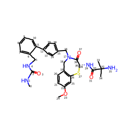 CNC(=O)NCc1ccccc1-c1ccc(CN2Cc3ccc(OC)cc3S[C@@H](NC(=O)C(C)(C)N)C2=O)cc1